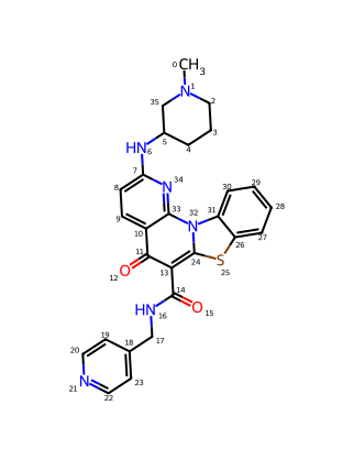 CN1CCCC(Nc2ccc3c(=O)c(C(=O)NCc4ccncc4)c4sc5ccccc5n4c3n2)C1